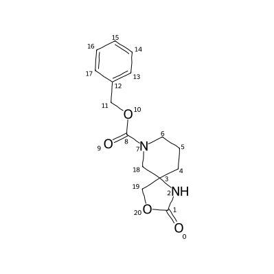 O=C1NC2(CCCN(C(=O)OCc3ccccc3)C2)CO1